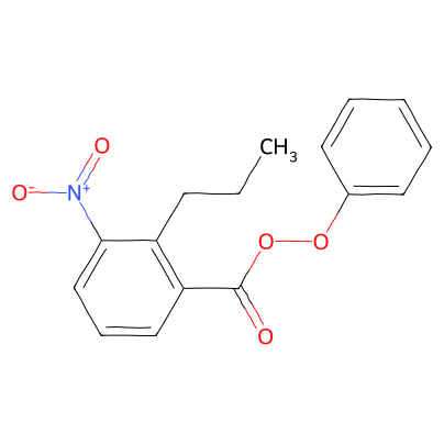 CCCc1c(C(=O)OOc2ccccc2)cccc1[N+](=O)[O-]